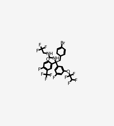 O=C(NCC(F)(F)F)N[C@](CC1C=CC(Br)=CC1)(c1cc(F)cc(OC(F)(F)C(F)F)c1)c1ccc(F)c(C(F)(F)F)c1